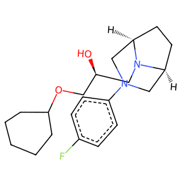 O[C@H](COC1CCCCC1)CN1[C@@H]2CC[C@H]1CN(c1ccc(F)cc1)C2